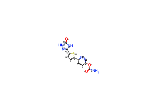 NC(=O)Oc1ccc(-c2ccc(-c3n[nH]c(=O)[nH]3)s2)nn1